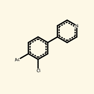 CC(=O)c1ccc(-c2ccncc2)cc1Cl